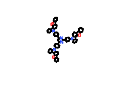 c1ccc2c(c1)oc1c2ccc2c1c1ccccc1n2-c1ccc(-c2cc(-c3ccc(-n4c5ccccc5c5c6oc7ccccc7c6ccc54)cc3)nc(-c3ccc(-n4c5ccccc5c5c6oc7ccccc7c6ccc54)cc3)n2)cc1